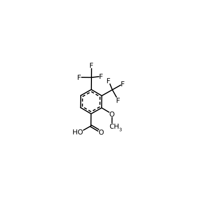 COc1c(C(=O)O)ccc(C(F)(F)F)c1C(F)(F)F